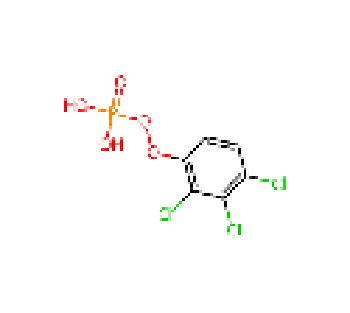 O=P(O)(O)OOc1ccc(Cl)c(Cl)c1Cl